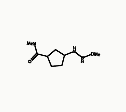 CNC(=O)C1CCC(NBOC)C1